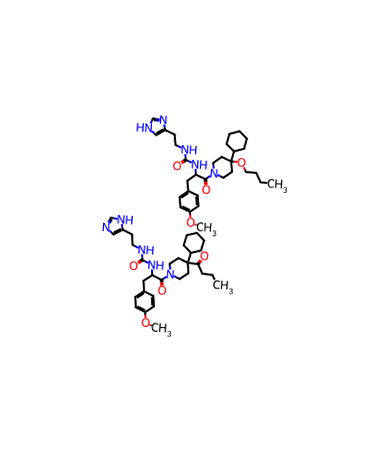 CCCC(=O)C1(C2CCCCC2)CCN(C(=O)C(Cc2ccc(OC)cc2)NC(=O)NCCc2cnc[nH]2)CC1.CCCCOC1(C2CCCCC2)CCN(C(=O)C(Cc2ccc(OC)cc2)NC(=O)NCCc2c[nH]cn2)CC1